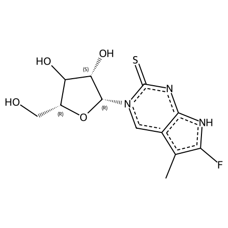 Cc1c(F)[nH]c2nc(=S)n([C@@H]3O[C@H](CO)C(O)[C@@H]3O)cc12